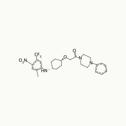 Cc1cc([N+](=O)[O-])c(C(F)(F)F)cc1N[C@H]1CC[C@H](OCC(=O)N2CCN(c3ccccc3)CC2)CC1